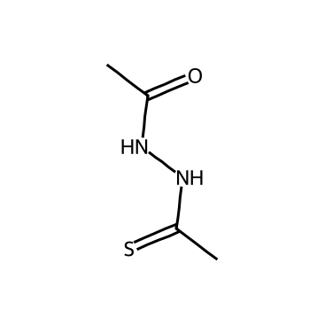 CC(=O)NNC(C)=S